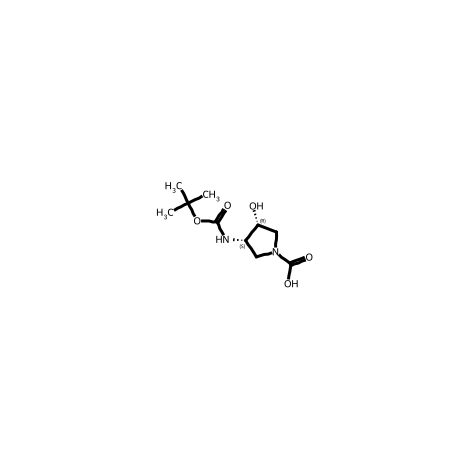 CC(C)(C)OC(=O)N[C@H]1CN(C(=O)O)C[C@H]1O